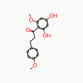 COc1ccc(CCC(=O)c2c(O)cc(O)cc2OC)cc1